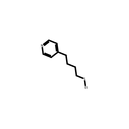 CCSCCC[CH]c1ccncc1